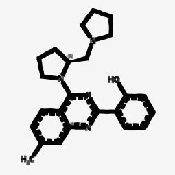 Cc1ccc2c(N3CCC[C@H]3CN3CCCC3)nc(-c3ccccc3O)nc2c1